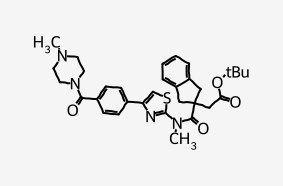 CN1CCN(C(=O)c2ccc(-c3csc(N(C)C(=O)C4(CC(=O)OC(C)(C)C)Cc5ccccc5C4)n3)cc2)CC1